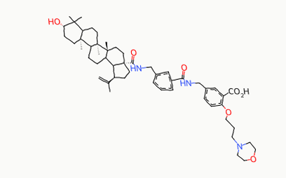 C=C(C)[C@@H]1CC[C@]2(C(=O)NCc3cccc(C(=O)NCc4ccc(OCCCN5CCOCC5)c(C(=O)O)c4)c3)CC[C@]3(C)C(CCC4[C@@]5(C)CC[C@H](O)C(C)(C)C5CC[C@]43C)C12